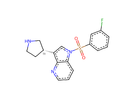 O=S(=O)(c1cccc(F)c1)n1cc([C@@H]2CCNC2)c2ncccc21